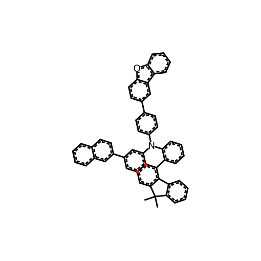 CC1(C)c2ccccc2-c2c(-c3ccccc3N(c3ccc(-c4ccc5oc6ccccc6c5c4)cc3)c3cccc(-c4ccc5ccccc5c4)c3)cccc21